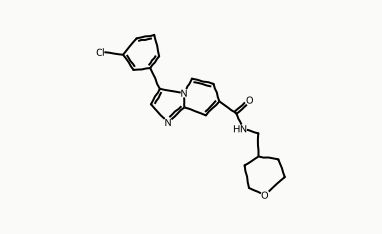 O=C(NCC1CCOCC1)c1ccn2c(-c3cccc(Cl)c3)cnc2c1